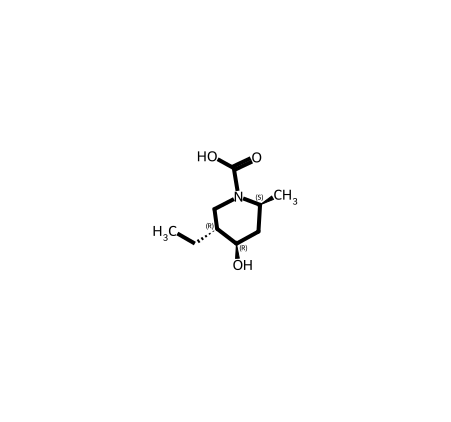 CC[C@@H]1CN(C(=O)O)[C@@H](C)C[C@H]1O